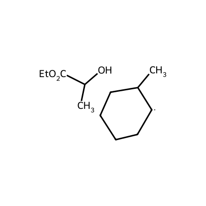 CC1[CH]CCCC1.CCOC(=O)C(C)O